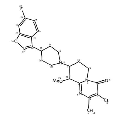 CCc1c(C)nc2n(c1=O)CCC(N1CCC(c3noc4cc(F)ccc34)CC1)C2OC